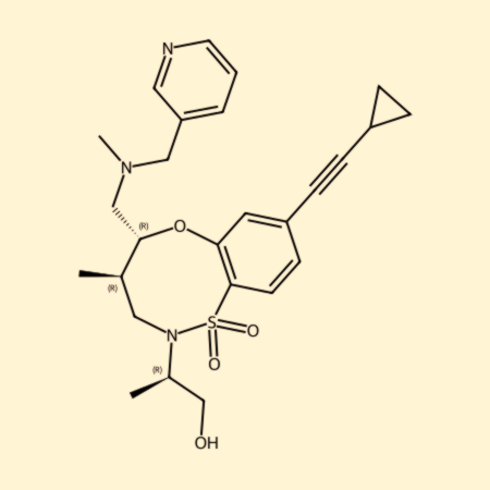 C[C@@H]1CN([C@H](C)CO)S(=O)(=O)c2ccc(C#CC3CC3)cc2O[C@H]1CN(C)Cc1cccnc1